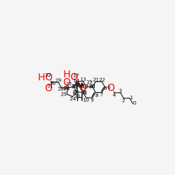 CCCCCOC1=CC2=CC[C@@H]3C4CC[C@@]5(C(=O)OC[C@]24CC1)[C@H]3CC[C@@]5(O)CCC(=O)O